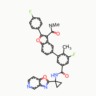 CNC(=O)c1c(-c2ccc(F)cc2)oc2ccc(-c3cc(C(=O)NC4(c5nc6cnccc6o5)CC4)cc(F)c3C)cc12